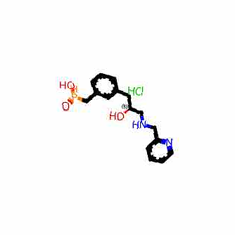 Cl.O=[PH](O)Cc1cccc(C[C@H](O)CNCc2ccccn2)c1